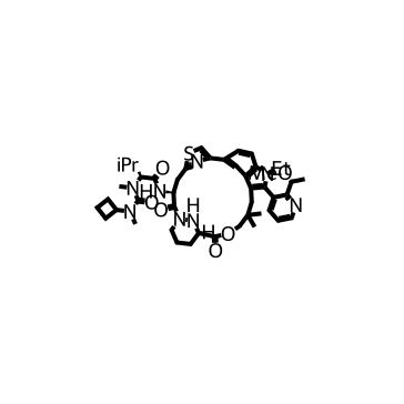 CCn1c(-c2cccnc2[C@H](C)OC)c2c3cc(ccc31)-c1csc(n1)C[C@H](NC(=O)[C@H](C(C)C)N(C)C(=O)N(C)C1CCC1)C(=O)N1CCC[C@H](N1)C(=O)OCC(C)(C)C2